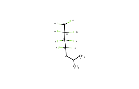 CC(C)CC(F)(F)C(F)(F)C(F)(F)C(F)F